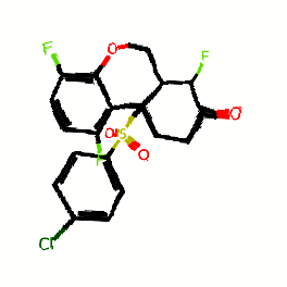 O=C1CCC2(S(=O)(=O)c3ccc(Cl)cc3)c3c(F)ccc(F)c3OCC2C1F